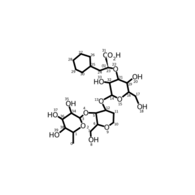 CC1OC(OC2C(CO)OCCC2OC2OC(CO)C(O)C(O[C@@H](CC3CCCCC3)C(=O)O)C2O)C(O)C(O)C1O